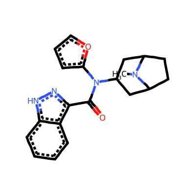 CN1C2CCC1CC(N(C(=O)c1n[nH]c3ccccc13)c1ccco1)C2